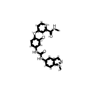 CNC(=O)c1cc(Oc2ccc(NC(=O)Nc3ccc4c(cnn4C)c3)cc2Cl)ccn1